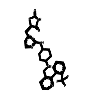 O=C1NC(=O)/C(=C\c2ccnc(NC3CCC(NCc4cccnc4-c4ccccc4C(F)(F)F)CC3)n2)S1